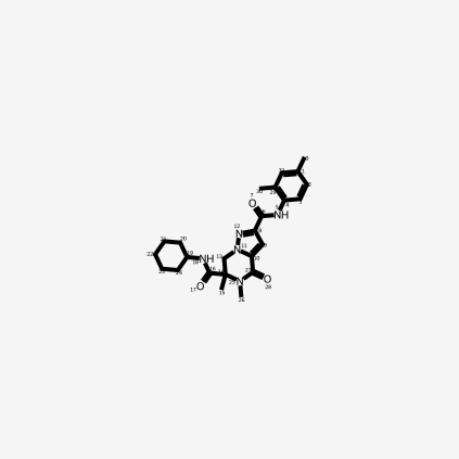 Cc1ccc(NC(=O)c2cc3n(n2)CC(C)(C(=O)NC2CCCCC2)N(C)C3=O)c(C)c1